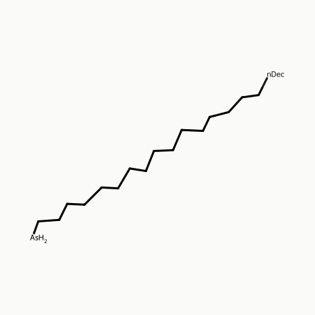 CCCCCCCCCCCCCCCCCCCCCCCCCC[AsH2]